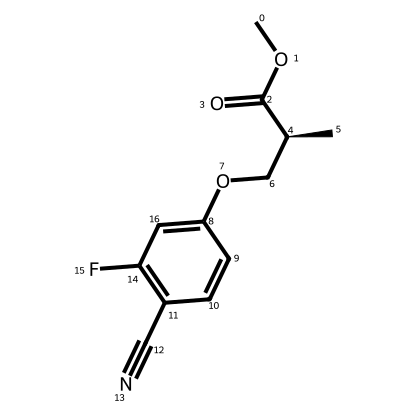 COC(=O)[C@@H](C)COc1ccc(C#N)c(F)c1